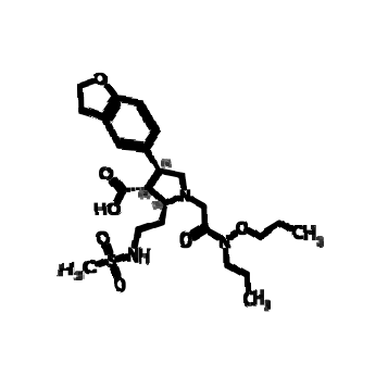 CCCON(CCC)C(=O)CN1C[C@H](c2ccc3c(c2)CCO3)[C@@H](C(=O)O)[C@@H]1CCNS(C)(=O)=O